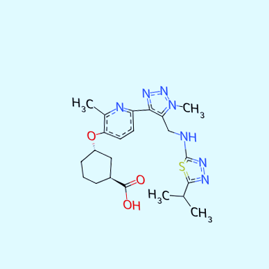 Cc1nc(-c2nnn(C)c2CNc2nnc(C(C)C)s2)ccc1O[C@H]1CCC[C@H](C(=O)O)C1